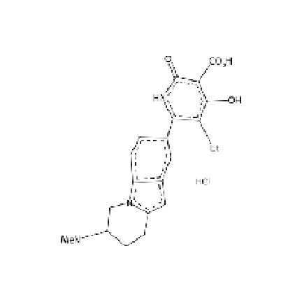 CCc1c(-c2ccc3c(c2)cc2n3CC(NC)CC2)[nH]c(=O)c(C(=O)O)c1O.Cl